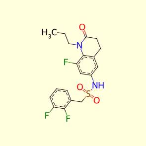 CCCN1C(=O)CCc2cc(NS(=O)(=O)Cc3cccc(F)c3F)cc(F)c21